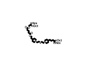 CCCCC[CH]CCC(CCCCCC)CCCC1CCN(CCSCCN2CCC(CCOC(=O)CCCC(=O)OCC(CCCCCC)CCCCCCCC)CC2)CC1